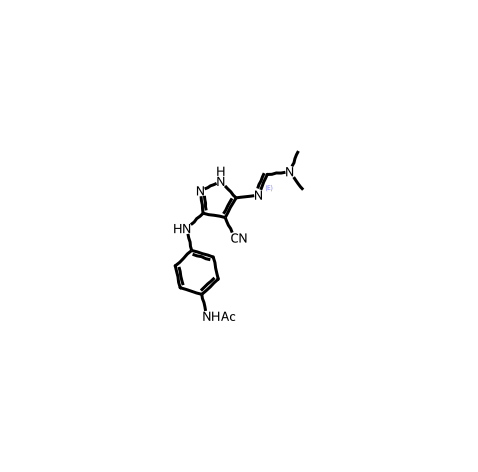 CC(=O)Nc1ccc(Nc2n[nH]c(/N=C/N(C)C)c2C#N)cc1